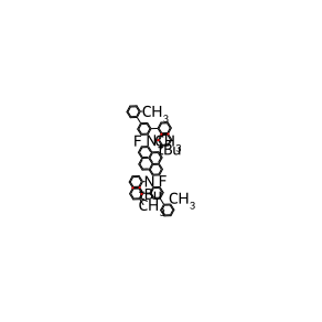 Cc1ccccc1-c1cc(F)c(N(c2ccccc2C(C)(C)C)c2ccc3ccc4c(N(c5ccccc5C(C)(C)C)c5c(F)cc(-c6ccccc6C)cc5-c5ccccc5C)ccc5ccc2c3c54)c(-c2ccccc2C)c1